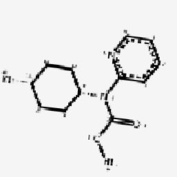 CC(C)(C)OC(=O)N(c1ccccn1)[C@H]1CC[C@@H](O)CC1